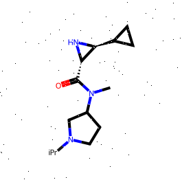 CC(C)N1CCC(N(C)C(=O)[C@@H]2N[C@H]2C2CC2)C1